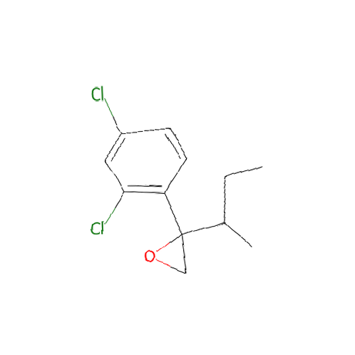 CCC(C)C1(c2ccc(Cl)cc2Cl)CO1